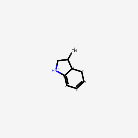 N#CC1CNC2=CC=CCC21